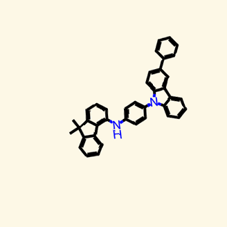 CC1(C)c2ccccc2-c2c(Nc3ccc(-n4c5ccccc5c5cc(-c6ccccc6)ccc54)cc3)cccc21